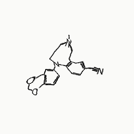 CN1CCN(c2ccc3c(c2)OCO3)c2ccc(C#N)cc2C1